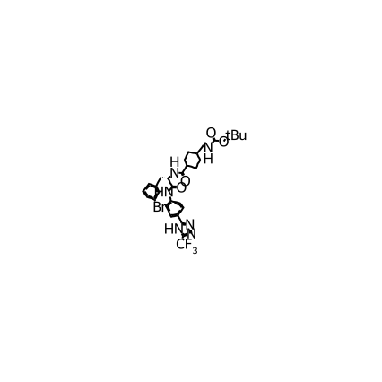 CC(C)(C)OC(=O)NCC1CCC(C(=O)N[C@@H](Cc2cccc(Br)c2)C(=O)Nc2ccc(-c3nnc(C(F)(F)F)[nH]3)cc2)CC1